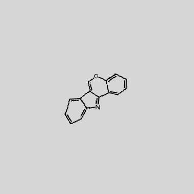 c1ccc2c3coc4ccccc4c-3nc2c1